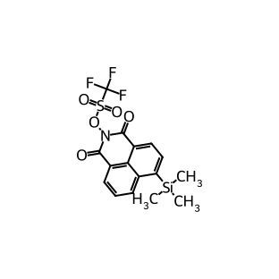 C[Si](C)(C)c1ccc2c3c(cccc13)C(=O)N(OS(=O)(=O)C(F)(F)F)C2=O